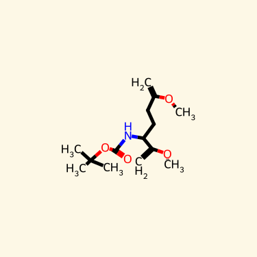 C=C(CCC(NC(=O)OC(C)(C)C)C(=C)OC)OC